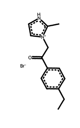 CCc1ccc(C(=O)C[n+]2cc[nH]c2C)cc1.[Br-]